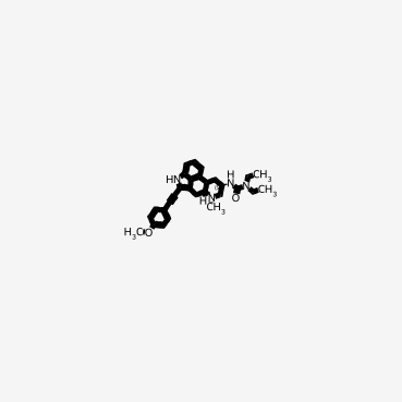 CCN(CC)C(=O)N[C@H]1CC2c3cccc4[nH]c(C#Cc5ccc(OC)cc5)c(c34)C[C@H]2N(C)C1